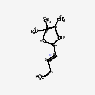 CC/C=C/B1OC(C)C(C)(C)O1